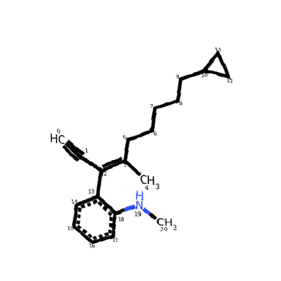 C#C/C(=C(/C)CCCCCC1CC1)c1ccccc1NC